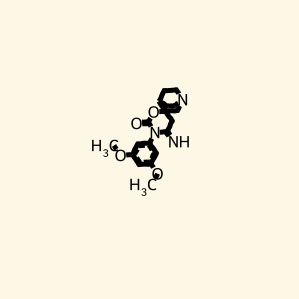 COc1cc(OC)cc(N2C(=N)CC3(CN4CCC3CC4)OC2=O)c1